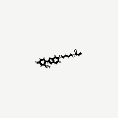 C=CC(=O)OCCCCOc1ccc2c(c1)CC(c1ccc(C)cc1C(C)C)=C2